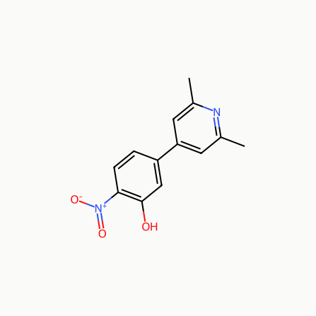 Cc1cc(-c2ccc([N+](=O)[O-])c(O)c2)cc(C)n1